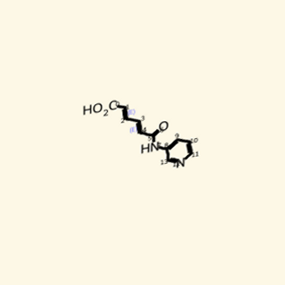 O=C(O)/C=C/C=C/C(=O)Nc1cccnc1